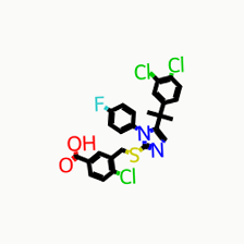 CC(C)(c1ccc(Cl)c(Cl)c1)c1cnc(SCc2cc(C(=O)O)ccc2Cl)n1-c1ccc(F)cc1